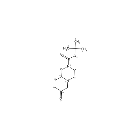 CC(C)(C)OC(=O)N1CCN2CC(=O)CCC2C1